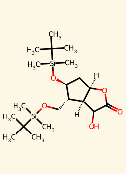 CC(C)(C)[Si](C)(C)OC[C@H]1[C@@H]2C(O)C(=O)O[C@@H]2C[C@@H]1O[Si](C)(C)C(C)(C)C